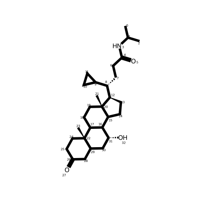 CC(C)NC(=O)CC[C@@H](C1CC1)[C@H]1CCC2C3C(CC[C@@]21C)[C@@]1(C)CCC(=O)CC1C[C@H]3O